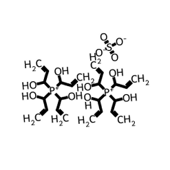 C=CC(O)[P+](C(O)C=C)(C(O)C=C)C(O)C=C.C=CC(O)[P+](C(O)C=C)(C(O)C=C)C(O)C=C.O=S(=O)([O-])[O-]